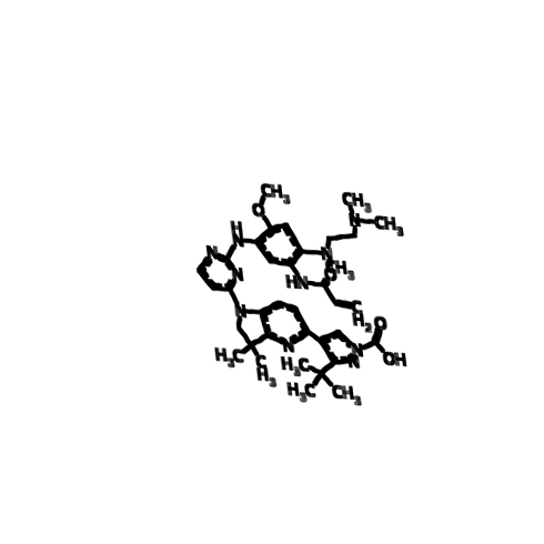 C=CC(=O)Nc1cc(Nc2nccc(N3CC(C)(C)c4nc(-c5cn(C(=O)O)nc5C(C)(C)C)ccc43)n2)c(OC)cc1N(C)CCN(C)C